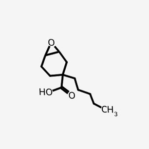 CCCCCC1(C(=O)O)CCC2OC2C1